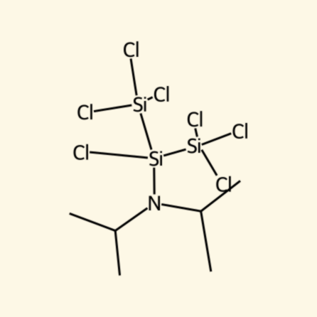 CC(C)N(C(C)C)[Si](Cl)([Si](Cl)(Cl)Cl)[Si](Cl)(Cl)Cl